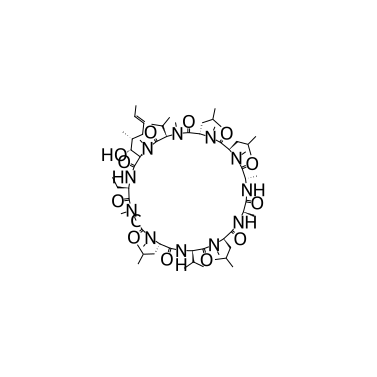 C/C=C/C[C@@H](C)[C@@H](O)[C@@H]1C(=O)N[C@H](CC)C(=O)N(C)CC(=O)N(C)[C@@H](CC(C)C)C(=O)N[C@H](C(C)C)C(=O)N(C)[C@H](CC(C)C)C(=O)N[C@H](C)C(=O)N[C@@H](C)C(=O)N(C)[C@H](CC(C)C)C(=O)N(C)[C@@H](CC(C)C)C(=O)N(C)[C@H](C(C)C)C(=O)N1C